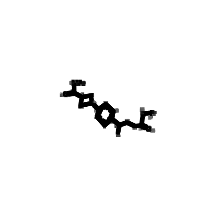 CNC(=O)C1CN(c2ccc(C(C)CCC(=O)OC(C)C)cc2)C1